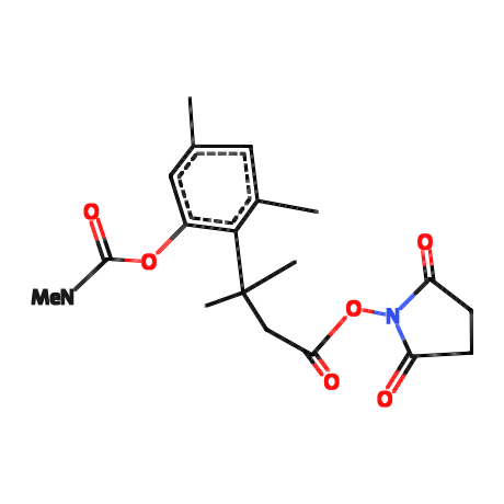 CNC(=O)Oc1cc(C)cc(C)c1C(C)(C)CC(=O)ON1C(=O)CCC1=O